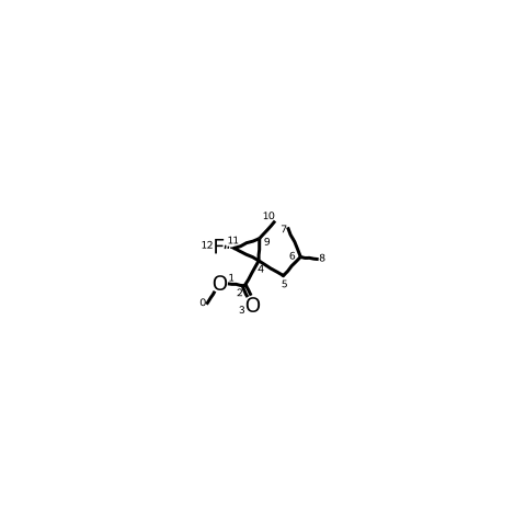 COC(=O)C1(CC(C)C)C(C)[C@H]1F